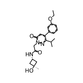 CCOc1cccc(-c2cc(=O)n(CC(=O)N[C@H]3C[C@](C)(O)C3)nc2C(C)C)c1